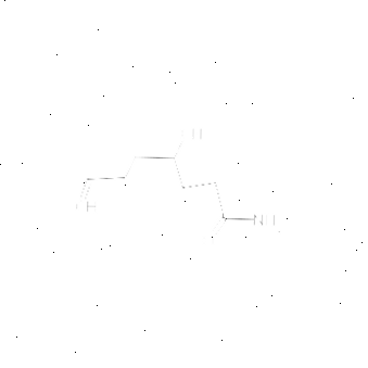 C=CCCC(C)CCC(N)=O